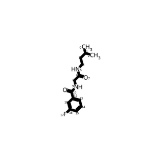 CC(C)C[CH]NC(=O)CNC(=O)c1cccc(F)c1